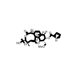 CC[C@H]1C(=O)O[C@H](C(C)(O)CC)[C@H](C)/C=C(\C)[C@]23O[C@@H]4[C@H](C=C[C@H]12)[C@H]3[C@H](O)[C@@H](COC)[C@H]4OC(=O)c1ccc[nH]1